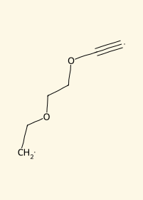 [C]#COCCOC[CH2]